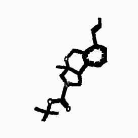 CC=Cc1cccc2c1COC1(C)CN(C(=O)OC(C)(C)C)CC21